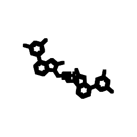 CC1=Cc2c(-c3cc(C)cc(C)c3)cccc2C1C[SiH2]CC1C(C)=Cc2c(-c3cc(C)cc(C)c3)cccc21